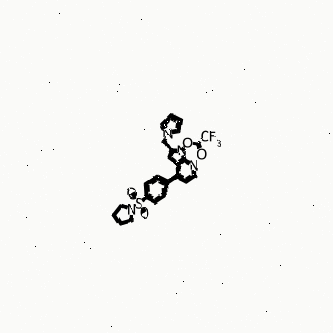 O=C(On1c(Cn2cccc2)cc2c(-c3ccc(S(=O)(=O)N4CCCC4)cc3)ccnc21)C(F)(F)F